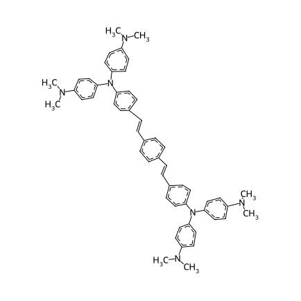 CN(C)c1ccc(N(c2ccc(C=Cc3ccc(/C=C/c4ccc(N(c5ccc(N(C)C)cc5)c5ccc(N(C)C)cc5)cc4)cc3)cc2)c2ccc(N(C)C)cc2)cc1